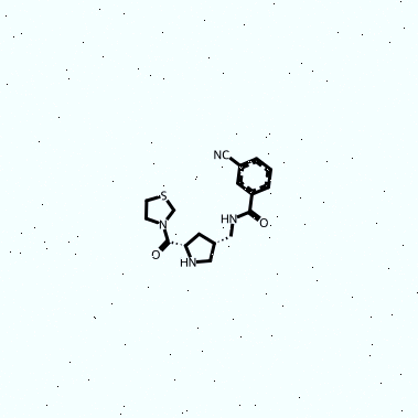 N#Cc1cccc(C(=O)NC[C@@H]2CN[C@H](C(=O)N3CCSC3)C2)c1